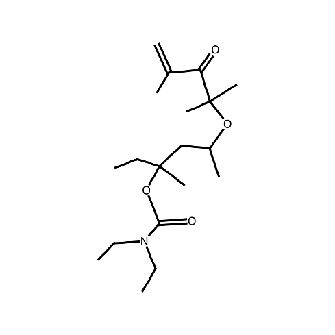 C=C(C)C(=O)C(C)(C)OC(C)CC(C)(CC)OC(=O)N(CC)CC